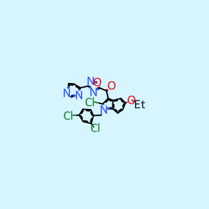 CCOc1ccc2c(c1)c(C(=O)c1nc(-c3ccncn3)no1)c(Cl)n2Cc1ccc(Cl)cc1Cl